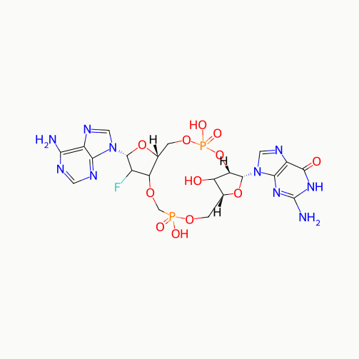 Nc1nc2c(ncn2[C@@H]2O[C@@H]3COP(=O)(O)COC4C(F)[C@H](n5cnc6c(N)ncnc65)O[C@@H]4COP(=O)(O)O[C@H]2C3O)c(=O)[nH]1